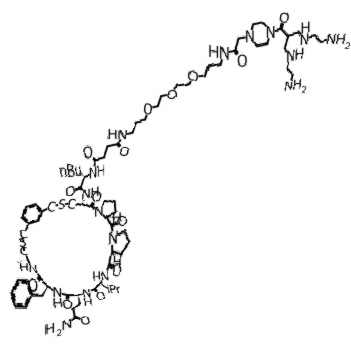 CCCC[C@H](NC(=O)CCC(=O)NCCCOCCOCCOCCCNC(=O)CN1CCN(C(=O)C(CNCCN)CNCCN)CC1)C(=O)N[C@H]1CSCc2cccc(c2)CSC[C@@H](C)NC(=O)[C@H](Cc2ccccc2)NC(=O)[C@H](CCC(N)=O)NC(=O)[C@H](C(C)C)NC(=O)[C@@H]2CCCN2C(=O)[C@@H]2CCCN2C1=O